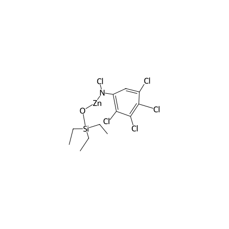 CC[Si](CC)(CC)[O][Zn][N](Cl)c1cc(Cl)c(Cl)c(Cl)c1Cl